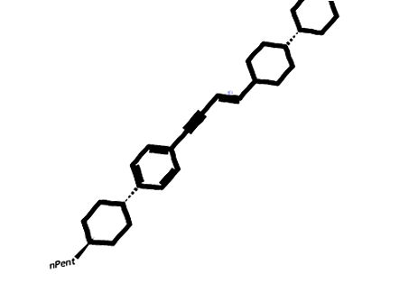 CCCCC[C@H]1CC[C@H](c2ccc(C#C/C=C/C3CCC([C@H]4CC[C@H](CC)CC4)CC3)cc2)CC1